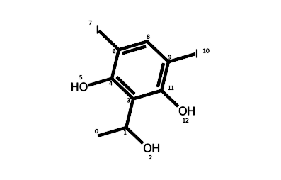 CC(O)c1c(O)c(I)cc(I)c1O